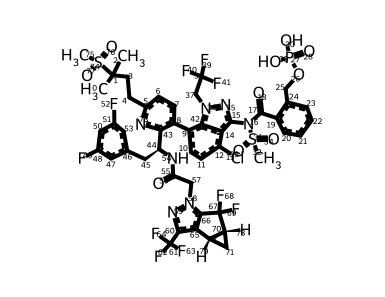 CC(C)(CCc1ccc(-c2ccc(Cl)c3c(N(C(=O)c4ccccc4COP(=O)(O)O)S(C)(=O)=O)nn(CC(F)(F)F)c23)c([C@H](Cc2cc(F)cc(F)c2)NC(=O)Cn2nc(C(F)(F)F)c3c2C(F)(F)[C@@H]2C[C@H]32)n1)S(C)(=O)=O